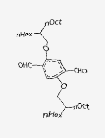 CCCCCCCCC(CCCCCC)COc1cc(C=O)c(OCC(CCCCCC)CCCCCCCC)cc1C=O